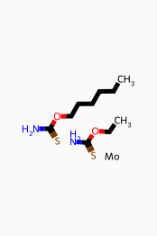 CCCCCCOC(N)=S.CCOC(N)=S.[Mo]